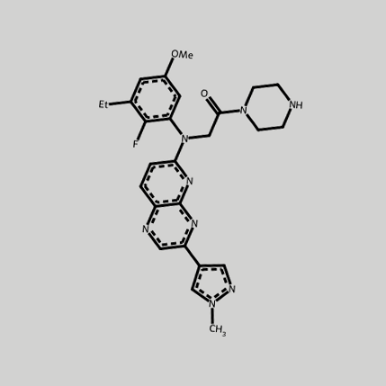 CCc1cc(OC)cc(N(CC(=O)N2CCNCC2)c2ccc3ncc(-c4cnn(C)c4)nc3n2)c1F